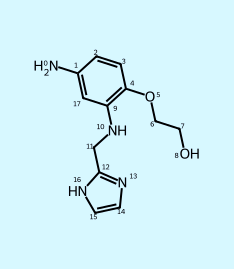 Nc1ccc(OCCO)c(NCc2ncc[nH]2)c1